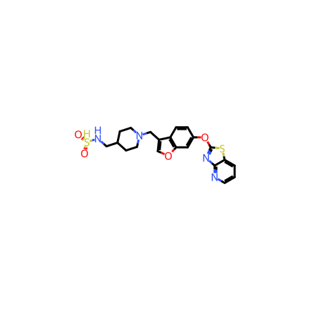 O=[SH](=O)NCC1CCN(Cc2coc3cc(Oc4nc5ncccc5s4)ccc23)CC1